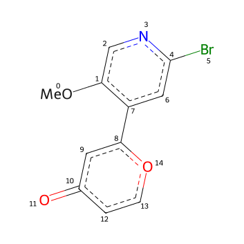 COc1cnc(Br)cc1-c1cc(=O)cco1